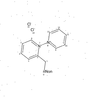 CCCCCCCCCCc1cccc[n+]1-[n+]1ccccc1.[Cl-].[Cl-]